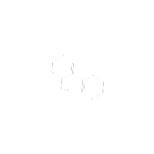 COc1ncccc1-c1ccccc1